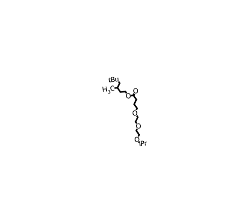 CC(CCOC(=O)CCCOCCOCCOC(C)C)CC(C)(C)C